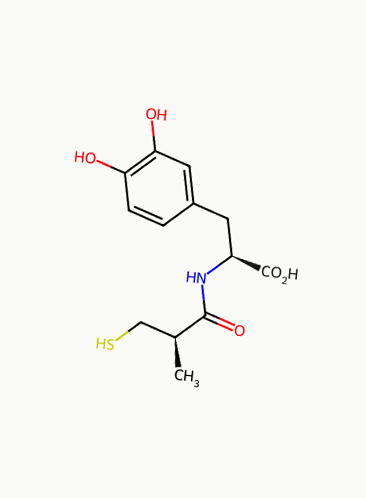 C[C@@H](CS)C(=O)N[C@@H](Cc1ccc(O)c(O)c1)C(=O)O